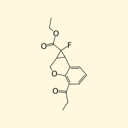 CCOC(=O)C1(F)C2COc3c(C(=O)CC)cccc3C21